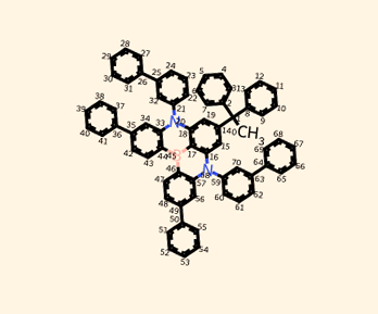 CC(c1ccccc1)(c1ccccc1)c1cc2c3c(c1)N(c1cccc(-c4ccccc4)c1)c1cc(-c4ccccc4)ccc1B3c1ccc(-c3ccccc3)cc1N2c1cccc(-c2ccccc2)c1